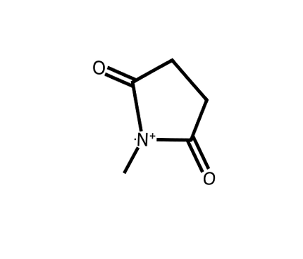 C[N+]1C(=O)CCC1=O